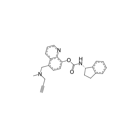 C#CCN(C)Cc1ccc(OC(=O)N[C@H]2CCc3ccccc32)c2ncccc12